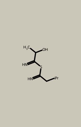 CC(C)CC(=N)SC(=N)C(C)O